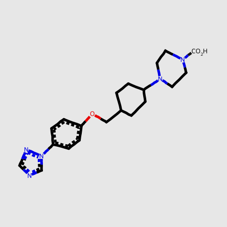 O=C(O)N1CCN(C2CCC(COc3ccc(-n4cncn4)cc3)CC2)CC1